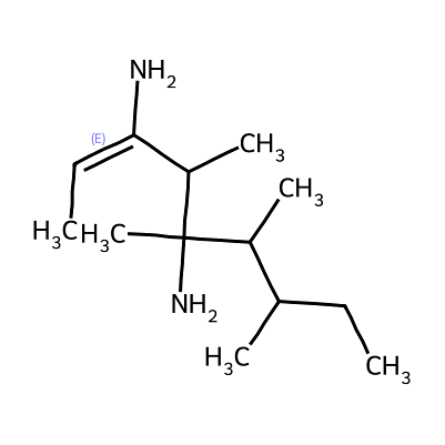 C/C=C(/N)C(C)C(C)(N)C(C)C(C)CC